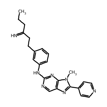 CCCC(=N)CCc1cccc(Nc2ncc3nc(-c4ccncc4)n(C)c3n2)c1